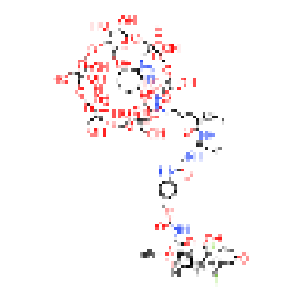 CCCC1O[C@@H]2C[C@H]3[C@@H]4C[C@H](F)C5=CC(=O)C=CC5[C@@]4(F)[C@@H](O)C[C@]3(C)[C@]2(C(=O)CNC(=O)OCc2ccc(NC(=O)CNC[C@@H](NC(=O)[C@H](C)CCCCNC(=O)COC3CCCCCc4c3nnn4CC3OC4OC5C(CO)OC(OC6C(CO)OC(OC7C(CO)OC(OC8C(CO)OC(OC9C(CO)OC(OC3C(O)C4O)C(O)C9O)C(O)C8O)C(O)C7O)C(O)C6O)C(O)C5O)C(C)C)cc2)O1